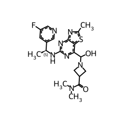 Cc1nc2nc(N[C@@H](C)c3cncc(F)c3)nc(C(O)N3CC(C(=O)N(C)C)C3)c2s1